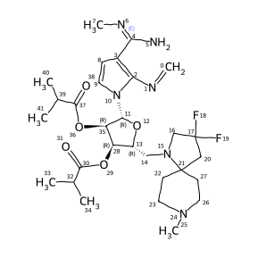 C=Nc1c(/C(N)=N\C)ccn1[C@@H]1O[C@H](CN2CC(F)(F)CC23CCN(C)CC3)[C@@H](OC(=O)C(C)C)[C@H]1OC(=O)C(C)C